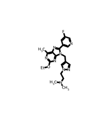 CCOc1nc(C)c2nc(-c3cncc(F)c3)n(Cc3cnn(CCN(C)C)c3)c2n1